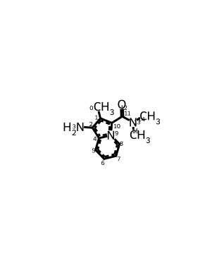 Cc1c(N)c2ccccn2c1C(=O)N(C)C